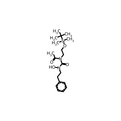 CC(=O)N(CCO[Si](C)(C)C(C)(C)C)C(=O)N(O)CCc1ccccc1